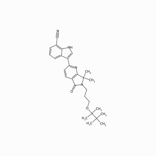 CC1(C)c2nc(-c3c[nH]c4c(C#N)cccc34)ccc2C(=O)N1CCCO[Si](C)(C)C(C)(C)C